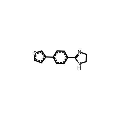 c1cc(-c2ccc(C3=NCCN3)cc2)cs1